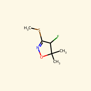 CSC1=NOC(C)(C)C1F